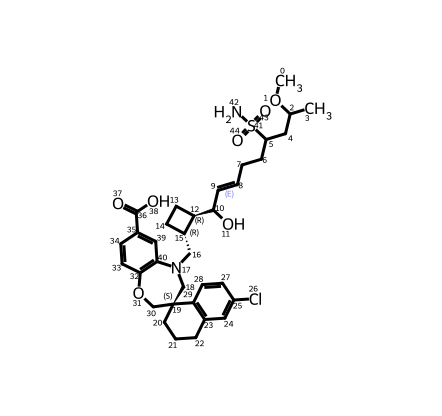 COC(C)CC(CC/C=C/C(O)[C@@H]1CC[C@H]1CN1C[C@@]2(CCCc3cc(Cl)ccc32)COc2ccc(C(=O)O)cc21)S(N)(=O)=O